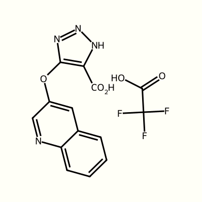 O=C(O)C(F)(F)F.O=C(O)c1[nH]nnc1Oc1cnc2ccccc2c1